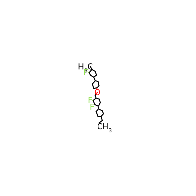 CCCC1CCC(C2CCC(COC3CCC(C4CCC(C)[C@H](F)C4)CC3)C(F)C2F)CC1